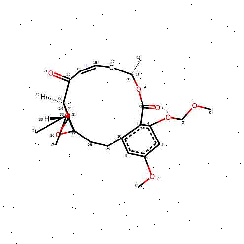 COCOc1cc(OC)cc2c1C(=O)O[C@@H](C)C/C=C\C(=O)[C@H]1OC(C)(C)C3(CC2)O[C@H]13